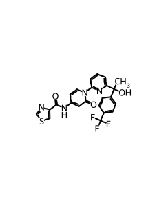 CC(O)(c1ccc(C(F)(F)F)cc1)c1cccc(-n2ccc(NC(=O)c3cscn3)cc2=O)n1